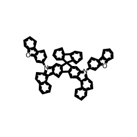 c1ccc2c(c1)-c1ccccc1C21c2cc3c(cc2-c2cc4c5c6ccccc6ccc5n(-c5ccc6c(c5)oc5ccccc56)c4cc21)c1c2ccccc2ccc1n3-c1ccc2c(c1)oc1ccccc12